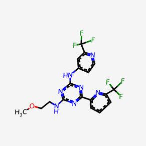 COCCNc1nc(Nc2ccnc(C(F)(F)F)c2)nc(-c2cccc(C(F)(F)F)n2)n1